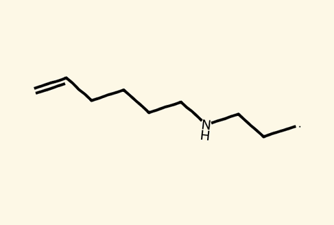 [CH2]CCNCCCCC=C